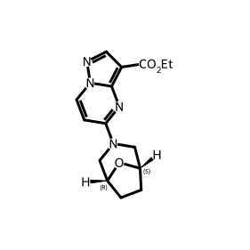 CCOC(=O)c1cnn2ccc(N3C[C@H]4CC[C@@H](C3)O4)nc12